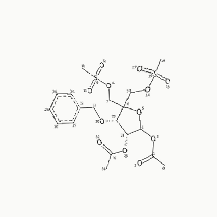 CC(=O)OC1OC(COS(C)(=O)=O)(COS(C)(=O)=O)[C@@H](OCc2ccccc2)[C@H]1OC(C)=O